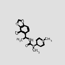 CC(NC(=O)N(C)C1CCN(C)CC1)c1ccc2c(c1Cl)OCO2